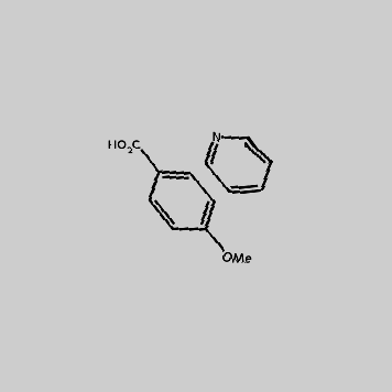 COc1ccc(C(=O)O)cc1.c1ccncc1